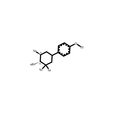 [2H][C@H]1CC(c2ccc(OCC)cc2)CC([2H])([2H])[C@@H]1CCC